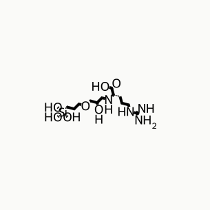 N=C(N)NCCC[C@H](NCC(O)COCCC[Si](O)(O)O)C(=O)O